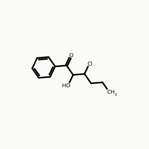 CCCC(Cl)C(O)C(=O)c1ccccc1